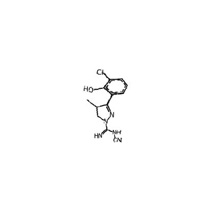 CC1CN(C(=N)NC#N)N=C1c1cccc(Cl)c1O